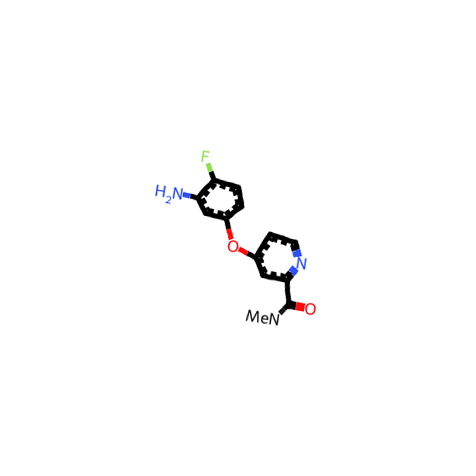 CNC(=O)c1cc(Oc2ccc(F)c(N)c2)ccn1